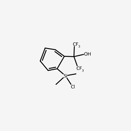 C[Si](C)(Cl)c1ccccc1C(O)(C(F)(F)F)C(F)(F)F